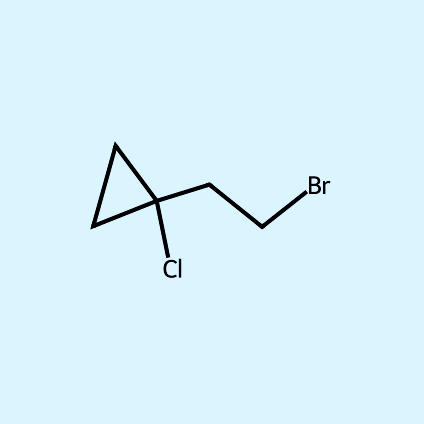 ClC1(CCBr)CC1